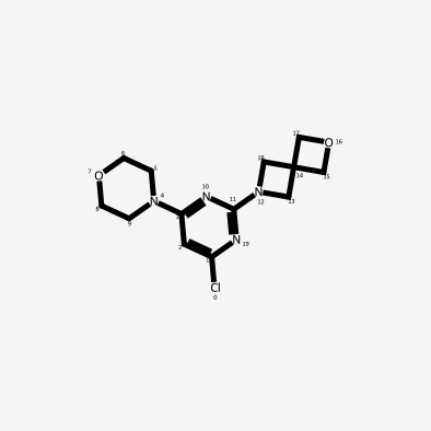 Clc1cc(N2CCOCC2)nc(N2CC3(COC3)C2)n1